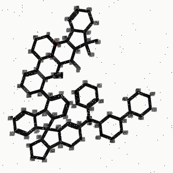 CC1C(NC2C(C3CCCCC3)=CCCC2C2=CC=CC3C2C2C=CC=CC2C32C3C=C(N(C4=CCCC=C4)C4CCCC(C5CCCCC5)C4)CCC3C3CCCC32)CCC2C3C=CCCC3C(C)(C)C12